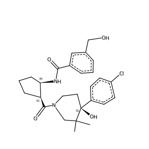 CC1(C)CN(C(=O)[C@H]2CCC[C@H]2NC(=O)c2cccc(CO)c2)CC[C@]1(O)c1ccc(Cl)cc1